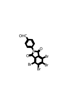 O=Cc1ccc(N2C(=O)c3c(Br)c(Br)c(Br)c(Br)c3C2=O)cc1